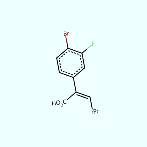 CC(C)C=C(C(=O)O)c1ccc(Br)c(F)c1